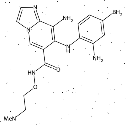 Bc1ccc(Nc2c(C(=O)NOCCNC)cn3ccnc3c2N)c(N)c1